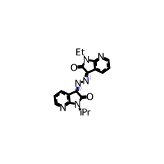 CCN1C(=O)/C(=N\N=C2/C(=O)N(C(C)C)c3ncccc32)c2cccnc21